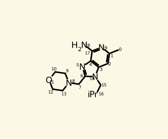 Cc1cc2c(nc(CN3CCOCC3)n2CC(C)C)c(N)n1